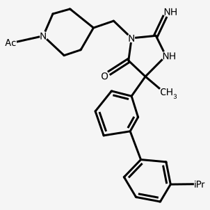 CC(=O)N1CCC(CN2C(=N)NC(C)(c3cccc(-c4cccc(C(C)C)c4)c3)C2=O)CC1